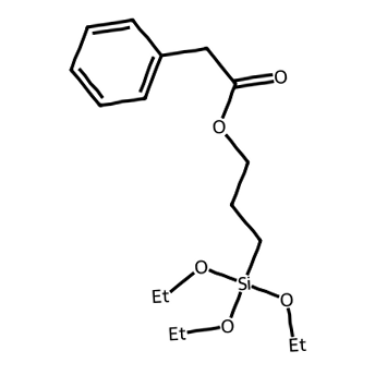 CCO[Si](CCCOC(=O)Cc1ccccc1)(OCC)OCC